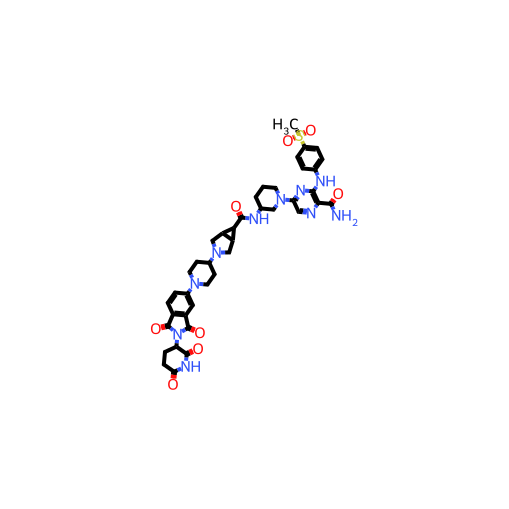 CS(=O)(=O)c1ccc(Nc2nc(N3CCCC(NC(=O)C4C5CN(C6CCN(c7ccc8c(c7)C(=O)N(C7CCC(=O)NC7=O)C8=O)CC6)CC54)C3)cnc2C(N)=O)cc1